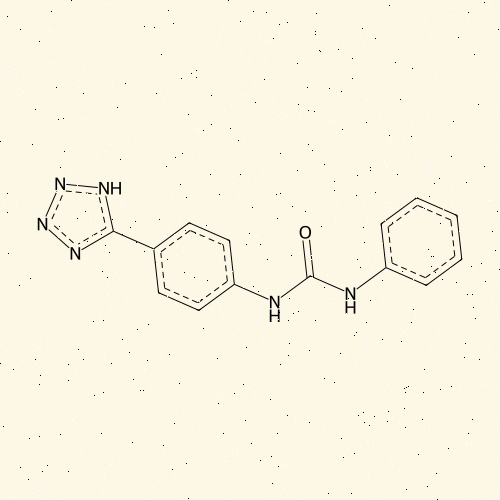 O=C(Nc1ccccc1)Nc1ccc(-c2nnn[nH]2)cc1